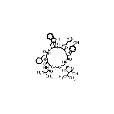 CC(C)[C@H](NC(=O)[C@@H]1CSSC[C@H](NC(=O)[C@H](C)N)C(=O)N[C@@H](CC2CCCCC2)C(=O)N[C@@H](Cc2c[nH]c3ccccc23)C(=O)N[C@@H](CCCCN)C(=O)N[C@@H](Cc2ccc(O)cc2)C(=O)N1)C(=O)O